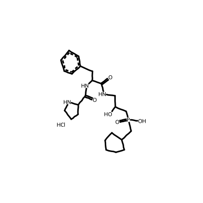 Cl.O=C(NC(Cc1ccccc1)C(=O)NCC(O)CP(=O)(O)CC1CCCCC1)C1CCCN1